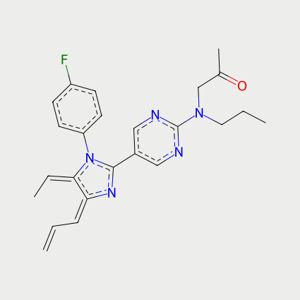 C=C/C=c1/nc(-c2cnc(N(CCC)CC(C)=O)nc2)n(-c2ccc(F)cc2)/c1=C/C